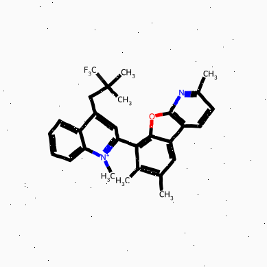 Cc1ccc2c(n1)oc1c(-c3cc(CC(C)(C)C(F)(F)F)c4ccccc4[n+]3C)c(C)c(C)cc12